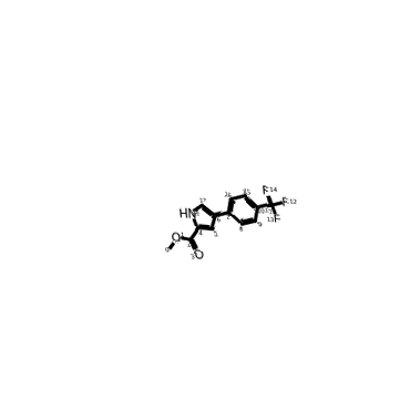 COC(=O)c1cc(-c2ccc(C(F)(F)F)cc2)c[nH]1